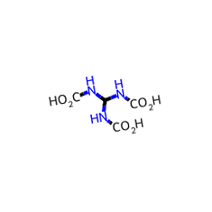 O=C(O)NC(NC(=O)O)NC(=O)O